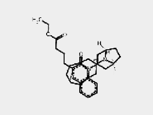 CCOC(=O)CCCc1nc2ccccc2n([C@H]2C[C@H]3CC[C@@H](C2)N3C2CC3CCCCC(C3)C2)c1=O